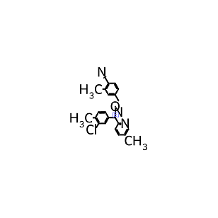 Cc1ccc(/C(=N/OCc2ccc(C#N)c(C)c2)c2ccc(C)c(Cl)c2)nc1